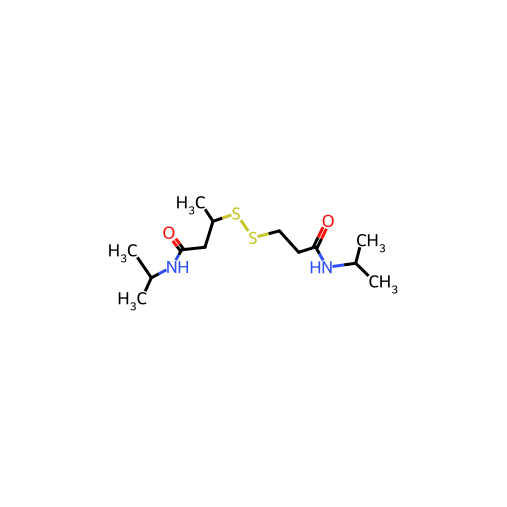 CC(C)NC(=O)CCSSC(C)CC(=O)NC(C)C